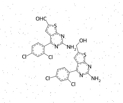 Nc1nc(-c2ccc(Cl)cc2Cl)c2cc(C=O)sc2n1.Nc1nc(-c2ccc(Cl)cc2Cl)c2cc(CO)sc2n1